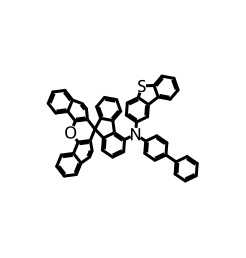 c1ccc(-c2ccc(N(c3ccc4sc5ccccc5c4c3)c3cccc4c3-c3ccccc3C43c4ccc5ccccc5c4Oc4c3ccc3ccccc43)cc2)cc1